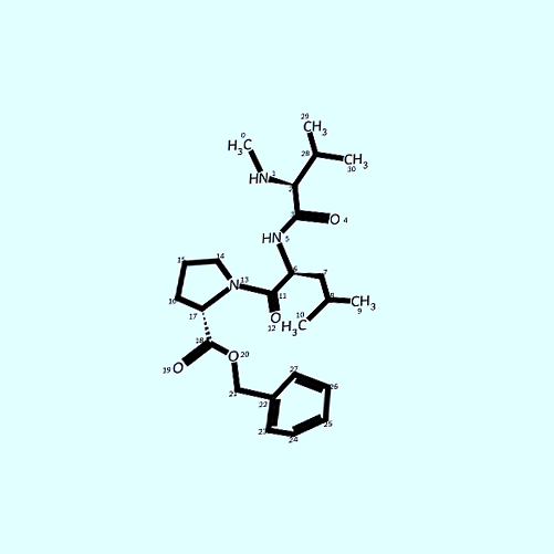 CN[C@H](C(=O)N[C@@H](CC(C)C)C(=O)N1CCC[C@H]1C(=O)OCc1ccccc1)C(C)C